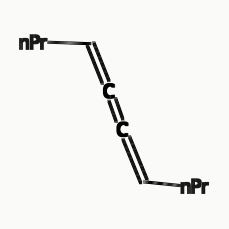 CCCC=C=C=CCCC